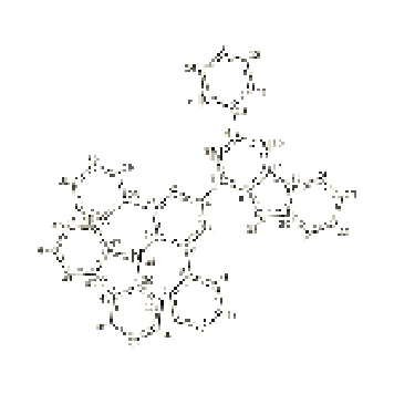 c1ccc(-c2cc(-c3nc(-c4ccccn4)nc4c3sc3ccccc34)cc(-c3ccccc3)c2-n2c3ccccc3c3ccccc32)cc1